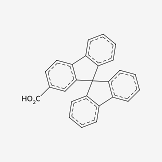 O=C(O)c1ccc2c(c1)C1(c3ccccc3-c3ccccc31)c1ccccc1-2